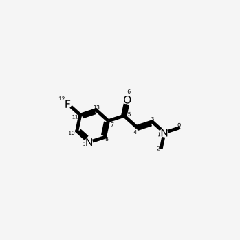 CN(C)C=CC(=O)c1cncc(F)c1